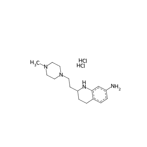 CN1CCN(CCC2CCc3ccc(N)cc3N2)CC1.Cl.Cl